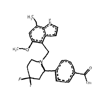 COc1cc(C)c2[nH]ccc2c1CN1CCC(F)(F)CC1c1ccc(C(=O)O)cc1